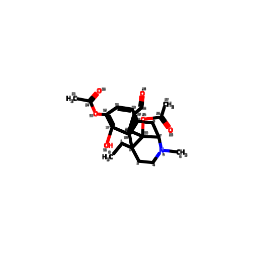 CCC12CCN(C)C(Cc3ccc(OC(C)=O)c(O)c31)C2(/C=C\C=O)OC(C)=O